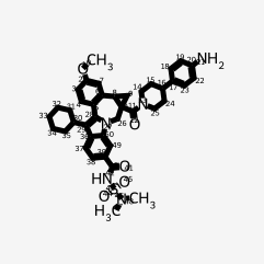 COc1ccc2c(c1)C1CC1(C(=O)N1CCC(c3ccc(N)cc3)CC1)Cn1c-2c(C2CCCCC2)c2ccc(C(=O)NS(=O)(=O)N(C)C)cc21